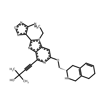 CCn1c(-c2nonc2N)nc2c(C#CC(C)(C)O)nc(OC[C@@H]3CC4=C(CCC=C4)CN3)cc21